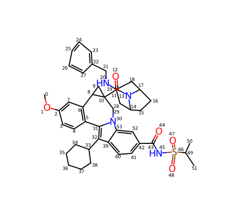 COc1ccc2c(c1)C1CC1(C(=O)N1C3CCC1CC(NCc1ccccc1)C3)Cn1c-2c(C2CCCCC2)c2ccc(C(=O)NS(=O)(=O)C(C)C)cc21